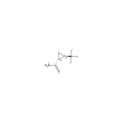 CC(C)(C)[C@@H]1C[C@H]1C(N)=O